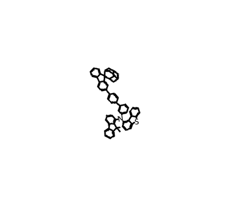 CC1(C)c2ccccc2-c2cccc(N(c3cccc(-c4ccc(-c5ccc6c(c5)C5(c7ccccc7-6)C6CC7CC(C6)CC5C7)cc4)c3)c3cccc4sc5ccccc5c34)c21